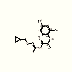 CC(=NOCC1CC1)NC(=O)[C@H](C)Oc1ccc(Br)cc1F